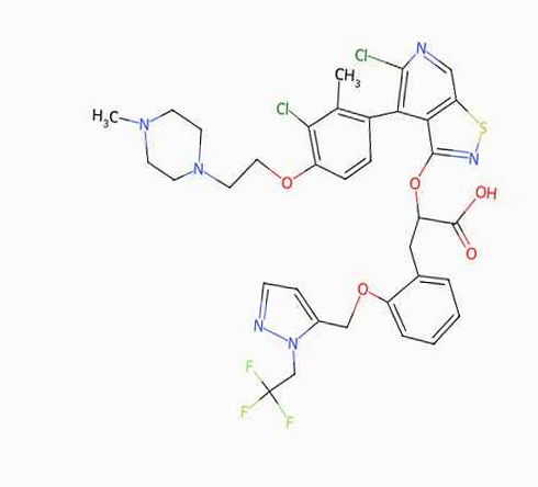 Cc1c(-c2c(Cl)ncc3snc(OC(Cc4ccccc4OCc4ccnn4CC(F)(F)F)C(=O)O)c23)ccc(OCCN2CCN(C)CC2)c1Cl